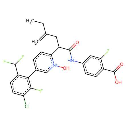 C=C(CC)CC(C(=O)Nc1ccc(C(=O)O)c(F)c1)c1ccc(-c2c(C(F)F)ccc(Cl)c2F)c[n+]1O